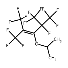 CC(C)OC(=C(C(F)(F)F)C(F)(F)F)C(F)(C(F)(F)F)C(F)(F)F